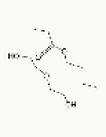 CCCCOC(=O)CC.OCCOCCO